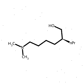 CCC[C@H](CO)CCCCN(C)C